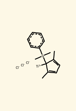 CC1=CC=C(C)[C]1([Ti+3])[Si](C)(C)c1ccccc1.[Cl-].[Cl-].[Cl-]